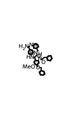 COc1cc(C(Nc2ccc(C(=N)N)cc2)C(=O)NCc2ccccc2)c(NC(=O)Cc2ccccc2)cc1OCc1ccccc1